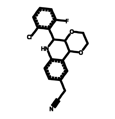 N#CCc1ccc2c(c1)C1OCCOC1C(c1c(F)cccc1Cl)N2